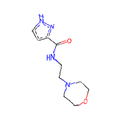 O=C(NCCN1CCOCC1)c1cc[nH]n1